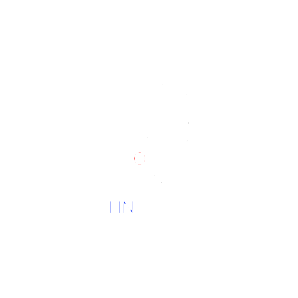 [NH]Cc1cc2ccccc2o1